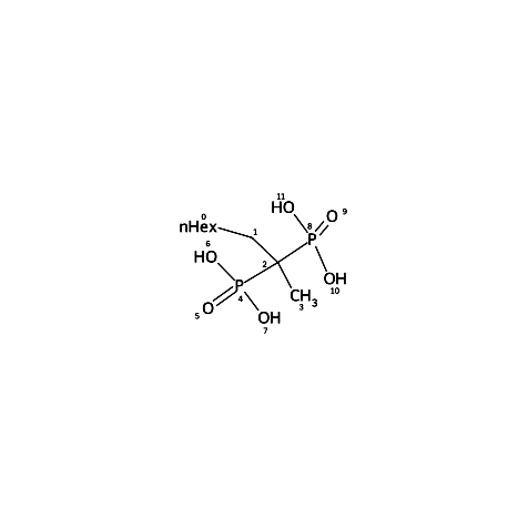 CCCCCCCC(C)(P(=O)(O)O)P(=O)(O)O